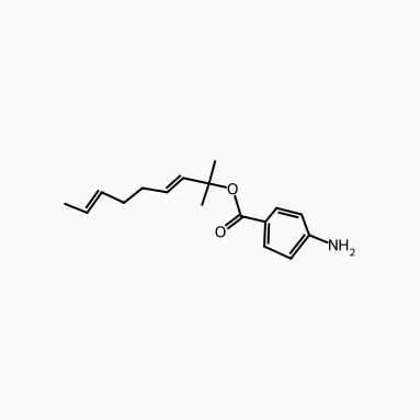 CC=CCCC=CC(C)(C)OC(=O)c1ccc(N)cc1